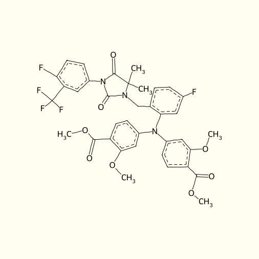 COC(=O)c1ccc(N(c2ccc(C(=O)OC)c(OC)c2)c2cc(F)ccc2CN2C(=O)N(c3ccc(F)c(C(F)(F)F)c3)C(=O)C2(C)C)cc1OC